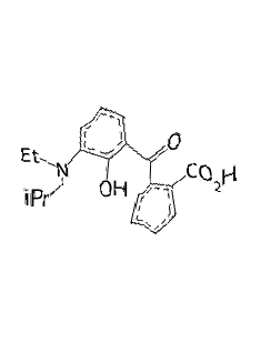 CCN(CC(C)C)c1cccc(C(=O)c2ccccc2C(=O)O)c1O